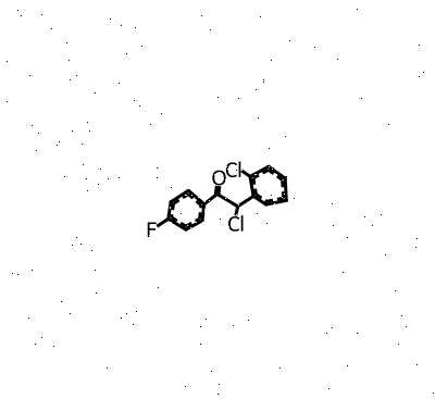 O=C(c1ccc(F)cc1)C(Cl)c1ccccc1Cl